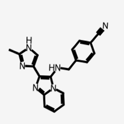 Cc1nc(-c2nc3ccccn3c2NCc2ccc(C#N)cc2)c[nH]1